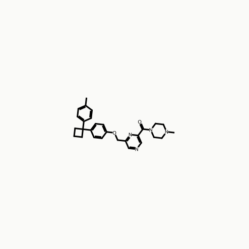 Cc1ccc(C2(c3ccc(OCc4cncc(C(=O)N5CCN(C)CC5)n4)cc3)CCC2)cc1